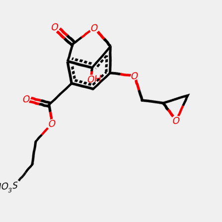 O=C(OCCS(=O)(=O)O)c1cc(OCC2CO2)c2c(O)c1C(=O)O2